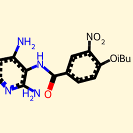 CC(C)COc1ccc(C(=O)Nc2c(N)ccnc2N)cc1[N+](=O)[O-]